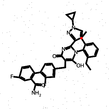 CCc1cccc(CC)c1-n1c(-c2ccn(C3CC3)n2)nc(=O)c(Cc2ccc(-c3ccc(F)cc3C(N)=O)c(F)c2)c1O